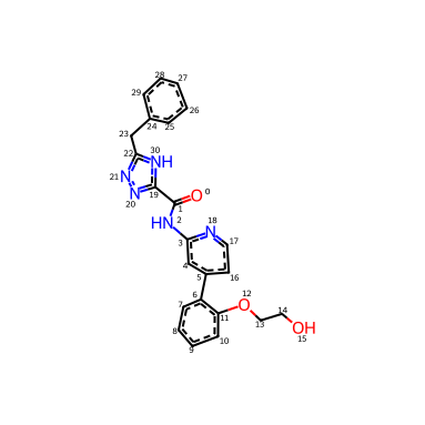 O=C(Nc1cc(-c2ccccc2OCCO)ccn1)c1nnc(Cc2ccccc2)[nH]1